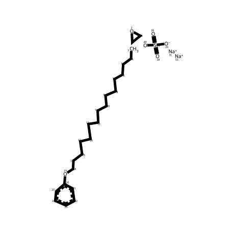 C1CO1.CCCCCCCCCCCCCCCCOc1ccccc1.O=S(=O)([O-])[O-].[Na+].[Na+]